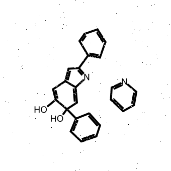 OC1=CC2=CC(c3ccccc3)=NC2=CC1(O)c1ccccc1.c1ccncc1